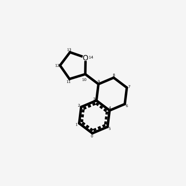 c1ccc2c(c1)CCCC2C1CCCO1